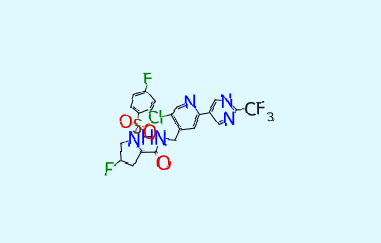 O=C(NCc1cc(-c2cnc(C(F)(F)F)nc2)ncc1Cl)C1CC(F)CN1S(=O)(=O)c1ccc(F)cc1